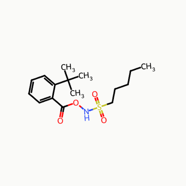 CCCCCS(=O)(=O)NOC(=O)c1ccccc1C(C)(C)C